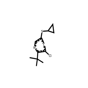 CC(C)(C)c1ncc(SC2CC2)cc1Cl